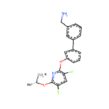 CCC(C)[C@@H](Oc1nc(Oc2cccc(-c3cccc(CN)c3)c2)c(F)cc1F)C(=O)O